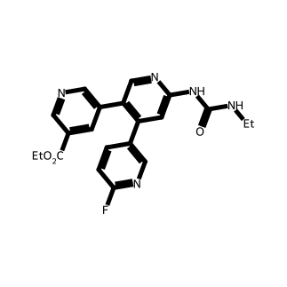 CCNC(=O)Nc1cc(-c2ccc(F)nc2)c(-c2cncc(C(=O)OCC)c2)cn1